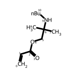 C=CC(=O)OCC(C)(C)NCCCC